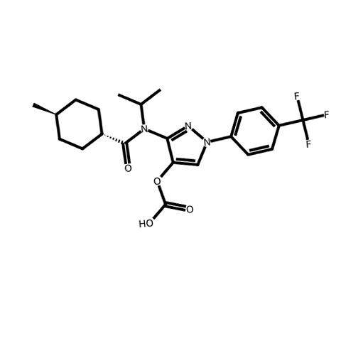 CC(C)N(c1nn(-c2ccc(C(F)(F)F)cc2)cc1OC(=O)O)C(=O)[C@H]1CC[C@H](C)CC1